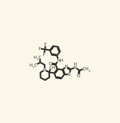 CC(=O)Nc1nc2c(C(=O)Nc3[c]ccc(C(F)(F)F)c3)c(C3(C)CCCCN3CC(C)C)ccc2s1